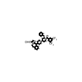 O=Cc1cnc2n1CCc1ccccc1C2=C1CCN([C@@H]2CCN(C(=O)c3cc(C(F)(F)F)cc(C(F)(F)F)c3)[C@H](Cc3ccccc3)C2)CC1